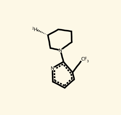 [2H][C@@H]1CCCN(c2ncccc2C(F)(F)F)C1